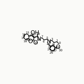 CCCCN(CCC/N=C(\C)C1=C(O)C2CC=CC=C2OC1=O)Cc1cccc(OC)c1